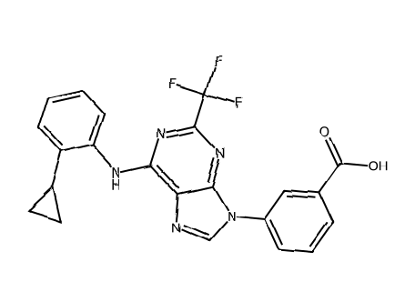 O=C(O)c1cccc(-n2cnc3c(Nc4ccccc4C4CC4)nc(C(F)(F)F)nc32)c1